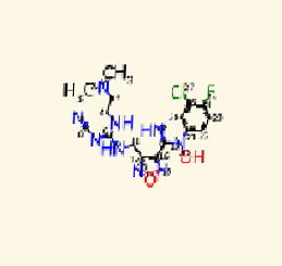 CN(C)CCN/C(=N\C#N)NCc1nonc1C(=N)N(O)c1ccc(F)c(Cl)c1